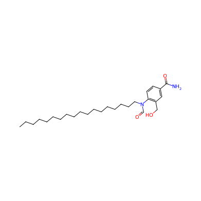 CCCCCCCCCCCCCCCCCCN(C=O)c1ccc(C(N)=O)cc1CO